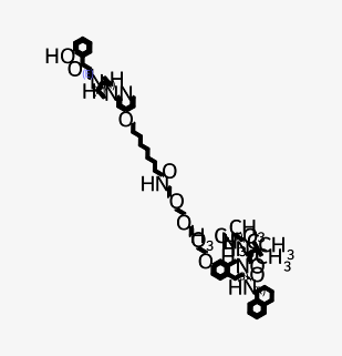 CN[C@@H](C)C(=O)N[C@H](C(=O)N1Cc2cc(OCCOCCOCCOCCNC(=O)CCCCCCCCOc3ccnc(N4C[C@H]5C[C@@H]4CN5/C=C/C(=O)c4ccccc4O)c3)ccc2C[C@H]1C(=O)N[C@@H]1CCCc2ccccc21)C(C)(C)C